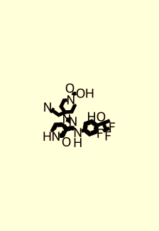 CC(O)(c1ccc(Nc2nn(C3(CC#N)CCN(C(=O)O)CC3)c3cc[nH]c(=O)c23)cc1)C(F)(F)F